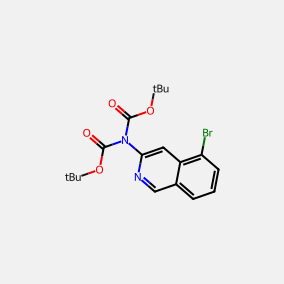 CC(C)(C)OC(=O)N(C(=O)OC(C)(C)C)c1cc2c(Br)cccc2cn1